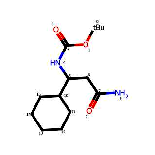 CC(C)(C)OC(=O)NC(CC(N)=O)C1CCCCC1